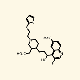 COc1ccc2ncc(F)c(C(O)CCC3CCN(CCSc4cccs4)CC3CC(=O)O)c2c1